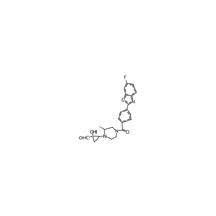 CC1CN(C(=O)c2ccc(-c3nc4ccc(F)cc4o3)cc2)CCN1C1CC1(O)C=O